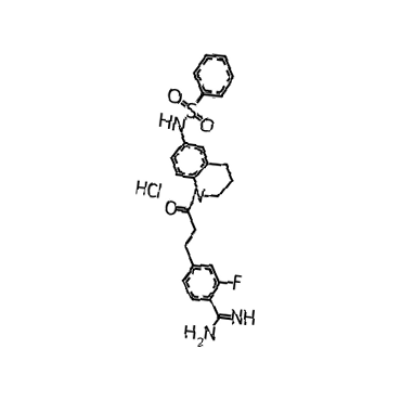 Cl.N=C(N)c1ccc(CCC(=O)N2CCCc3cc(NS(=O)(=O)c4ccccc4)ccc32)cc1F